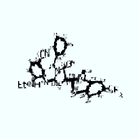 CCNc1ccc(C#N)cc1/N=C1/S/C(=C2\Sc3ccc(C(F)(F)F)cc3N2C)C(=O)N1Cc1ccccc1